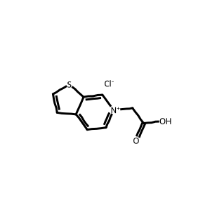 O=C(O)C[n+]1ccc2ccsc2c1.[Cl-]